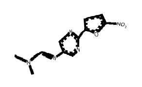 CN(C)C=Nc1cnc(-c2ccc([N+](=O)[O-])o2)nc1